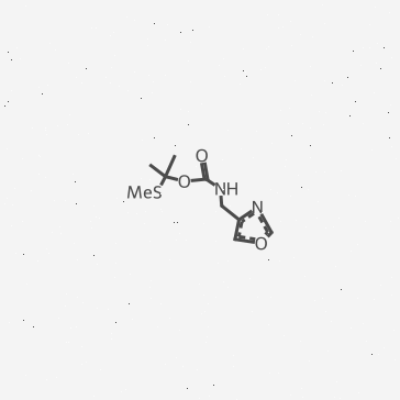 CSC(C)(C)OC(=O)NCc1cocn1